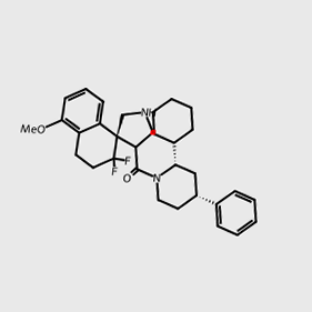 COc1cccc2c1CCC(F)(F)[C@]21CNCC1C(=O)N1CC[C@@H](c2ccccc2)C[C@H]1C1CCCCC1